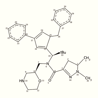 CC1CC(C(=O)N(C[C@@H]2CNCCO2)[C@@H](C2=CC(c3ccccc3)=CC2Cc2ccccc2)C(C)(C)C)=NN1C